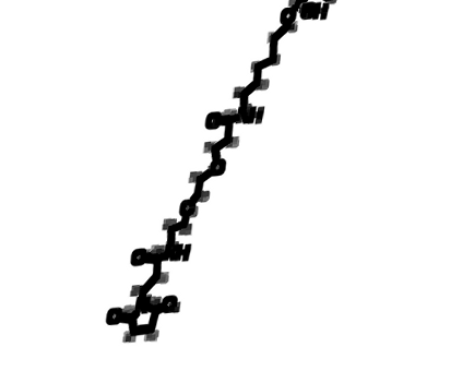 COP(=O)(O)OCCCCCCNC(=O)CCOCCOCCNC(=O)CCN1C(=O)C=CC1=O